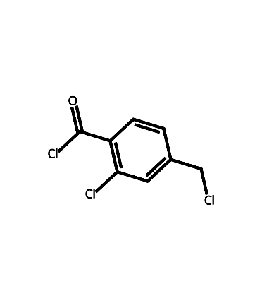 O=C(Cl)c1ccc(CCl)cc1Cl